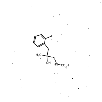 CC(O)(CNC(=O)O)Cc1ccccc1F